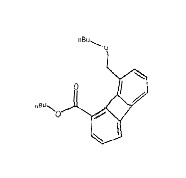 CCCCOCc1cccc2c1-c1c(C(=O)OCCCC)cccc1-2